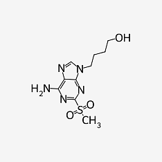 CS(=O)(=O)c1nc(N)c2ncn(CCCCO)c2n1